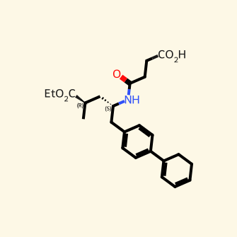 CCOC(=O)[C@H](C)C[C@@H](Cc1ccc(C2=CC=CCC2)cc1)NC(=O)CCC(=O)O